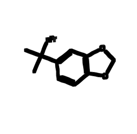 CCCC(C)(C)c1ccc2c(c1)OCO2